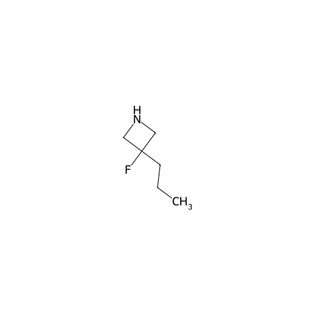 CCCC1(F)CNC1